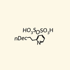 CCCCCCCCCCCCc1ccccn1.O=S(=O)(O)OS(=O)(=O)O